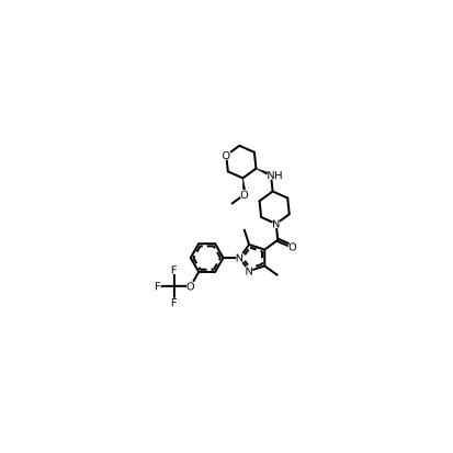 CO[C@H]1COCC[C@H]1NC1CCN(C(=O)c2c(C)nn(-c3cccc(OC(F)(F)F)c3)c2C)CC1